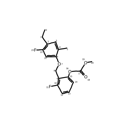 CCc1cc(C)c(OCc2c(F)cccc2OC(=O)OC)cc1F